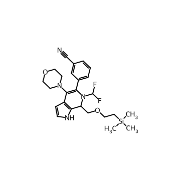 C[Si](C)(C)CCOCC1c2[nH]ccc2C(N2CCOCC2)=C(c2cccc(C#N)c2)N1C(F)F